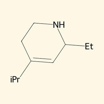 CCC1C=C(C(C)C)CCN1